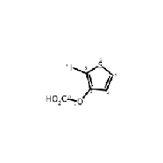 O=C(O)Oc1ccsc1I